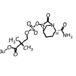 CC(C)(C)OC(=O)C(C)(C)COS(=O)(=O)ON1C(=O)N2CC1CC[C@H]2C(N)=O